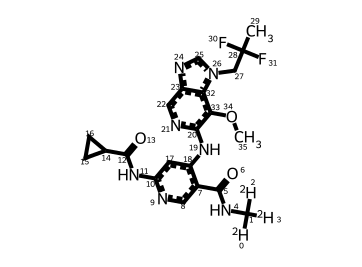 [2H]C([2H])([2H])NC(=O)c1cnc(NC(=O)C2CC2)cc1Nc1ncc2ncn(CC(C)(F)F)c2c1OC